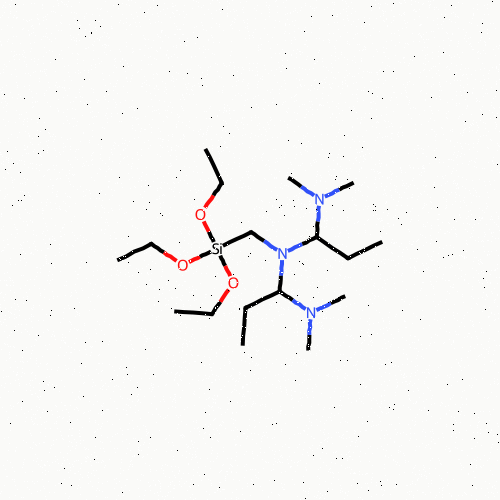 CCO[Si](CN(C(CC)N(C)C)C(CC)N(C)C)(OCC)OCC